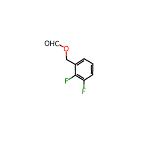 O=COCc1cccc(F)c1F